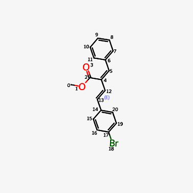 COC(=O)C(=Cc1ccccc1)/C=C/c1ccc(Br)cc1